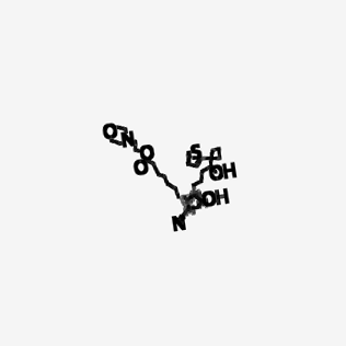 N#C[C@@H]1C[C@@H](O)[C@H](CCCC(O)C2(c3cccs3)CCC2)[C@H]1CCCCCCC(=O)OCCN1CCOCC1